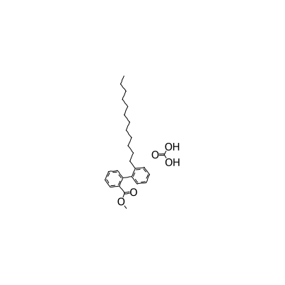 CCCCCCCCCCCCc1ccccc1-c1ccccc1C(=O)OC.O=C(O)O